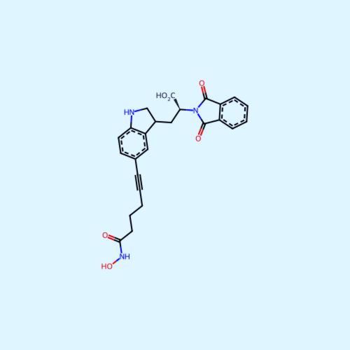 O=C(CCCC#Cc1ccc2c(c1)C(C[C@@H](C(=O)O)N1C(=O)c3ccccc3C1=O)CN2)NO